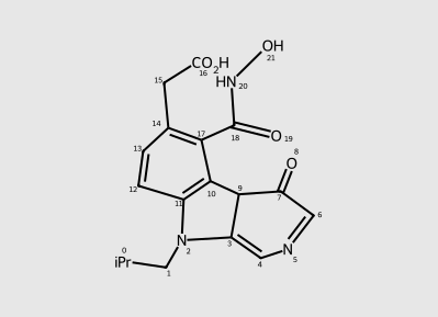 CC(C)CN1C2=CN=CC(=O)C2c2c1ccc(CC(=O)O)c2C(=O)NO